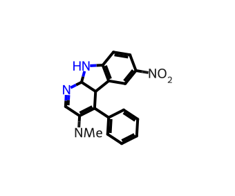 CNC1=C(c2ccccc2)C2c3cc([N+](=O)[O-])ccc3NC2N=C1